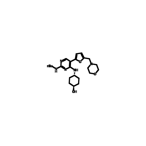 CCCCNc1ncc(-c2ccc(CN3CCOCC3)o2)c(N[C@H]2CC[C@H](O)CC2)n1